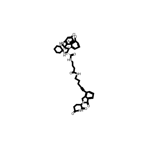 O=C(CCCNC(=O)[C@@H]1NC2(CCCCC2)[C@@]2(C(=O)Nc3cc(Cl)ccc32)[C@H]1c1cccc(Cl)c1F)NCCCC#Cc1cccc2c1CN(C1CCC(=O)NC1=O)C2=O